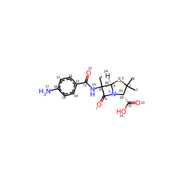 CC1(C)S[C@H]2N(C(=O)C2(C)NC(=O)c2ccc(N)cc2)[C@H]1C(=O)O